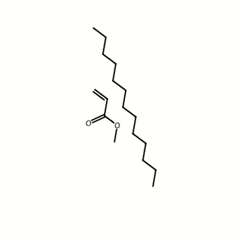 C=CC(=O)OC.CCCCCCCCCCCCC